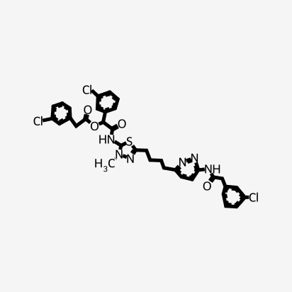 CN1N=C(CCCCc2ccc(NC(=O)Cc3cccc(Cl)c3)nn2)SC1NC(=O)C(OC(=O)Cc1cccc(Cl)c1)c1cccc(Cl)c1